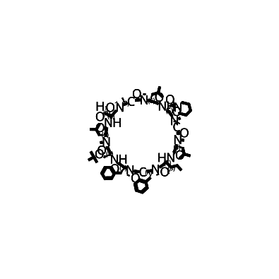 CC[C@H](C)[C@@H]1NC(=O)[C@H](CC(C)C)N(C)C(=O)CN(C)C(=O)[C@@H](C(=O)N2CCCCC2)NC(=O)[C@H](CC(C)C)N(C)C(=O)C[C@H](C)N(C)C(=O)[C@H]([C@@H](C)O)NC(=O)[C@H](CC(C)C)N(C)C(=O)[C@H](COC(C)(C)C)NC(=O)[C@H](Cc2ccccc2)N(C)C(=O)C[C@@H](Cc2ccccc2)N(C)C1=O